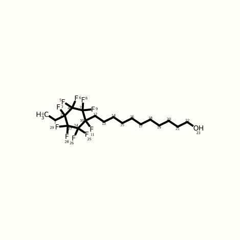 CCC1(F)C(F)(F)C(F)(F)C(F)(CCCCCCCCCCCO)C(F)(F)C1(F)F